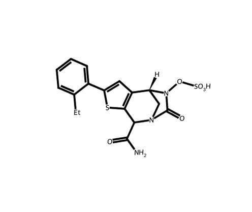 CCc1ccccc1-c1cc2c(s1)C(C(N)=O)N1C[C@H]2N(OS(=O)(=O)O)C1=O